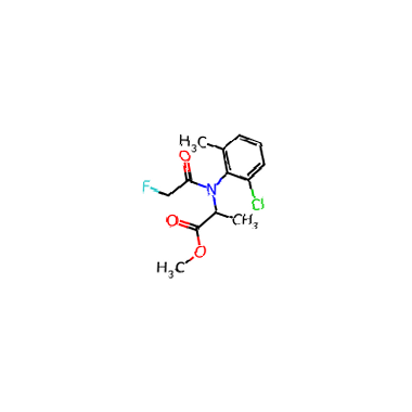 COC(=O)C(C)N(C(=O)CF)c1c(C)cccc1Cl